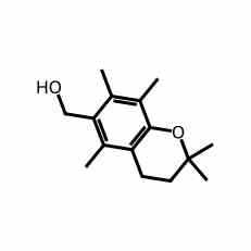 Cc1c(C)c2c(c(C)c1CO)CCC(C)(C)O2